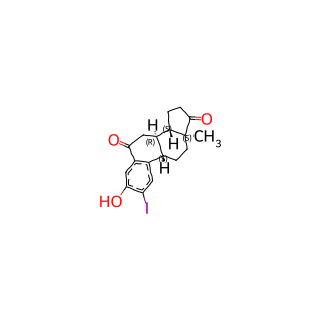 C[C@]12CC[C@@H]3c4cc(I)c(O)cc4C(=O)C[C@H]3[C@@H]1CCC2=O